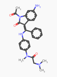 CC(=O)N1C(=O)/C(=C(\Nc2ccc(N(C)C(=O)CN(C)C)cc2)c2ccccc2)c2ccc(N)cc21